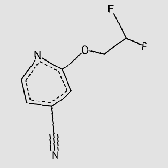 N#Cc1ccnc(OCC(F)F)c1